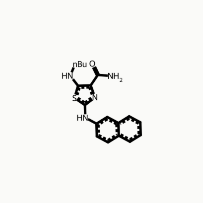 CCCCNc1sc(Nc2ccc3ccccc3c2)nc1C(N)=O